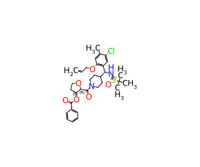 C=CCOc1cc(C)c(Cl)cc1C(N[S@@+]([O-])C(C)(C)C)C1CCN(C(=O)[C@@H]2OCC[C@@H]2OC(=O)c2ccccc2)CC1